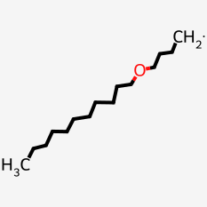 [CH2]CCCOCCCCCCCCCCC